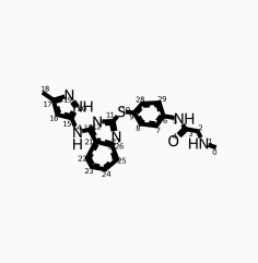 CNCC(=O)Nc1ccc(Sc2nc(Nc3cc(C)n[nH]3)c3ccccc3n2)cc1